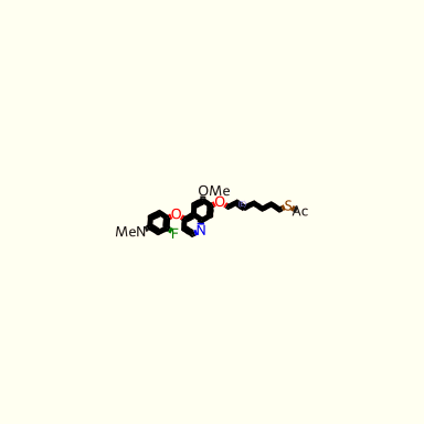 CNc1ccc(Oc2ccnc3cc(OC/C=C/CCCCSC(C)=O)c(OC)cc23)c(F)c1